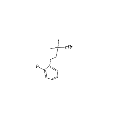 [CH2]CCC(C)(C)CCc1ccccc1F